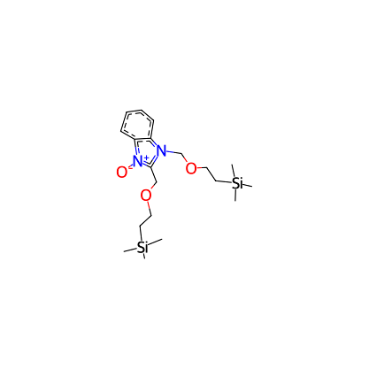 C[Si](C)(C)CCOCc1n(COCC[Si](C)(C)C)c2ccccc2[n+]1[O-]